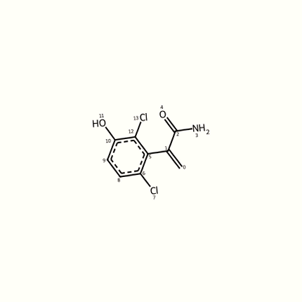 C=C(C(N)=O)c1c(Cl)ccc(O)c1Cl